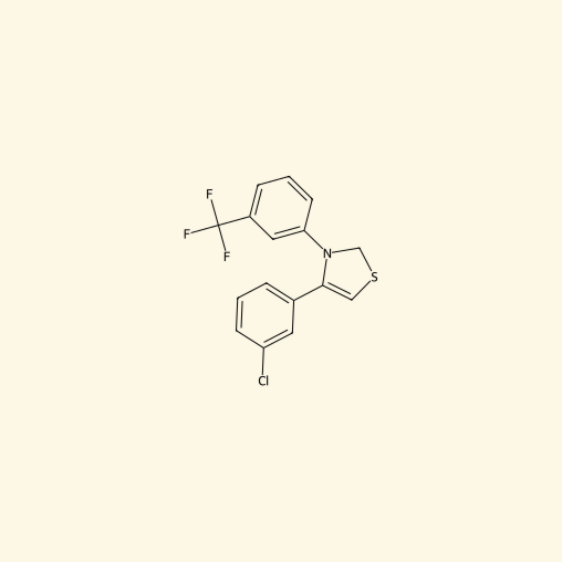 FC(F)(F)c1cccc(N2CSC=C2c2cccc(Cl)c2)c1